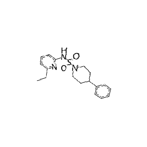 CCc1cccc(NS(=O)(=O)N2CCC(c3ccccc3)CC2)n1